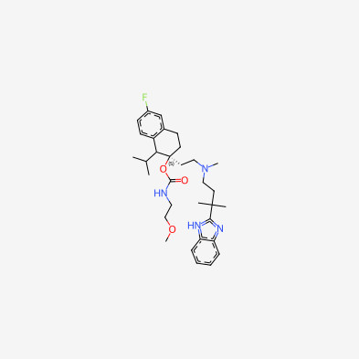 COCCNC(=O)O[C@]1(CCN(C)CCC(C)(C)c2nc3ccccc3[nH]2)CCc2cc(F)ccc2C1C(C)C